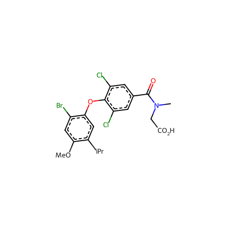 COc1cc(Br)c(Oc2c(Cl)cc(C(=O)N(C)CC(=O)O)cc2Cl)cc1C(C)C